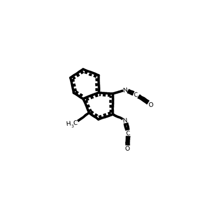 Cc1cc(N=C=O)c(N=C=O)c2ccccc12